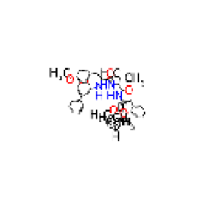 COc1ccc(CC(Nc2cccc(-c3ccccc3)c2)C(=O)NC(C(=O)N[C@@H](Cc2ccccc2)B2O[C@@H]3C[C@@H]4C[C@@H](C4(C)C)[C@]3(C)O2)C(C)C)cc1